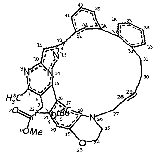 COC(=O)[C@@H](OC(C)(C)C)c1c(C)nc2cc3nn2c1-c1cc2c(cc1F)OCCN2CC=CCCc1ccccc1-c1cccc-3c1